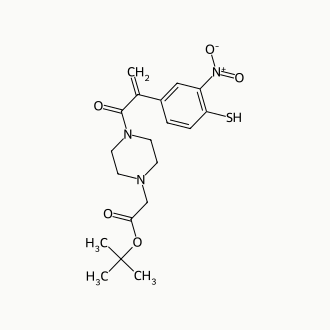 C=C(C(=O)N1CCN(CC(=O)OC(C)(C)C)CC1)c1ccc(S)c([N+](=O)[O-])c1